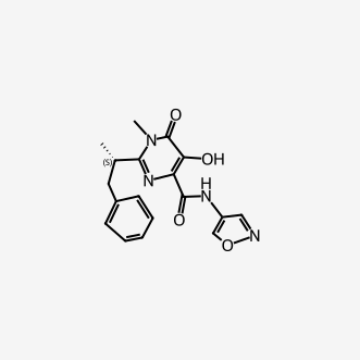 C[C@@H](Cc1ccccc1)c1nc(C(=O)Nc2cnoc2)c(O)c(=O)n1C